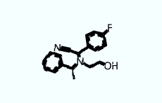 C[C@@H](c1ccccc1)N(CCO)C(C#N)c1ccc(F)cc1